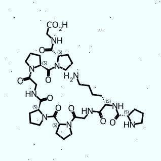 NCCCC[C@H](NC(=O)[C@@H]1CCCN1)C(=O)NCC(=O)N1CCC[C@H]1C(=O)N1CCC[C@H]1C(=O)NCC(=O)N1CCC[C@H]1C(=O)N1CCC[C@H]1C(=O)NCC(=O)O